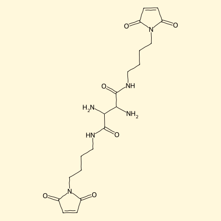 NC(C(=O)NCCCCN1C(=O)C=CC1=O)C(N)C(=O)NCCCCN1C(=O)C=CC1=O